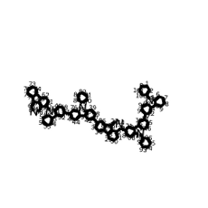 c1ccc(-n2c3ccccc3c3cc(-c4ccc5c(c4)c4cc(-c6ncc7c8c(cccc68)-c6ccc(-c8ccc9c(c8)c8ccc(-c%10ccc%11c(c%10)c%10ccccc%10n%11-c%10ccc%11c%12c(cncc%10%12)-c%10ccccc%10-%11)cc8n9-c8ccccc8)cc6-7)ccc4n5-c4ccccc4)ccc32)cc1